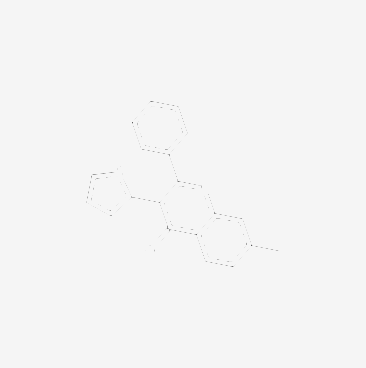 Cc1ccc2c(=O)c(-c3cccs3)c(-c3ccccc3)oc2c1